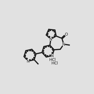 Cc1ncccc1-c1cnc2c(c1)-n1cccc1C(=O)N(C)C2.Cl.Cl